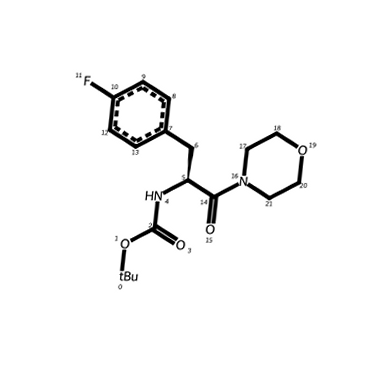 CC(C)(C)OC(=O)N[C@@H](Cc1ccc(F)cc1)C(=O)N1CCOCC1